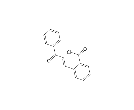 O=C(C=Cc1ccccc1C(=O)Cl)c1ccccc1